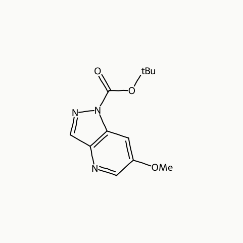 COc1cnc2cnn(C(=O)OC(C)(C)C)c2c1